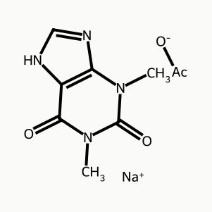 CC(=O)[O-].Cn1c(=O)c2[nH]cnc2n(C)c1=O.[Na+]